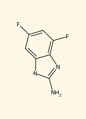 NC1=Nc2c(F)cc(F)cc2[N]1